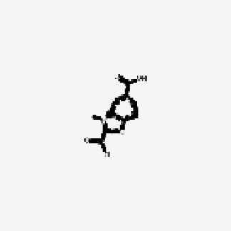 Cn1c(C(=O)Cl)nc2ccc(C(=O)O)cc21